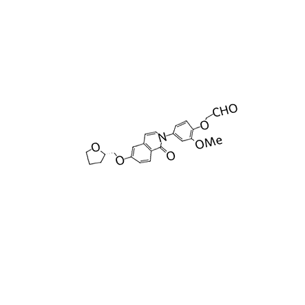 COc1cc(-n2ccc3cc(OC[C@@H]4CCCO4)ccc3c2=O)ccc1OCC=O